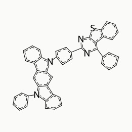 c1ccc(-c2nc(-c3ccc(-n4c5ccccc5c5cc6c(cc54)c4ccccc4n6-c4ccccc4)cc3)nc3sc4ccccc4c23)cc1